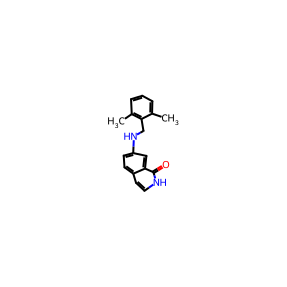 Cc1cccc(C)c1CNc1ccc2cc[nH]c(=O)c2c1